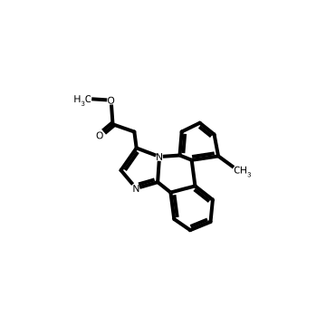 COC(=O)Cc1cnc2c3ccccc3c3c(C)cccc3n12